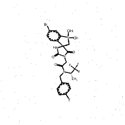 C[C@H](N(Cc1ccc(F)cc1)C(=O)CN1C(=O)NC2(CS(O)(O)c3cc(Br)ccc32)C1=O)C(F)(F)F